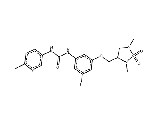 Cc1ccc(NC(=O)Nc2cc(F)cc(OCC3CN(C)S(=O)(=O)N3C)c2)cn1